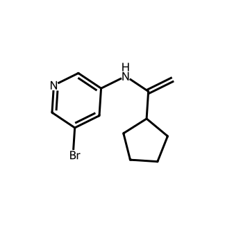 C=C(Nc1cncc(Br)c1)C1CCCC1